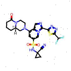 N#CC1(NS(=O)(=O)c2cc(N3CCN4C(=O)CCC[C@H]4C3)c3cnc(-c4nnc(C(F)F)s4)n3c2)CC1